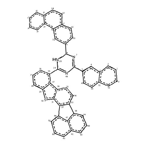 c1ccc2cc(C3=NC(c4ccc5ccc6ccccc6c5c4)NC(c4cccc5sc6c7c(ccc6c45)-c4cccc5cccc-7c45)=N3)ccc2c1